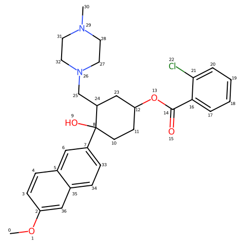 COc1ccc2cc(C3(O)CCC(OC(=O)c4ccccc4Cl)CC3CN3CCN(C)CC3)ccc2c1